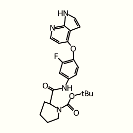 CC(C)(C)OC(=O)N1CCCCC1C(=O)Nc1ccc(Oc2ccnc3[nH]ccc23)c(F)c1